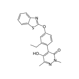 CCc1cc(Oc2nc3ccccc3s2)ccc1-c1c(O)c(C)nn(C)c1=O